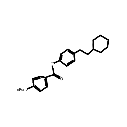 CCCCCc1ccc(C(=O)Oc2ccc(CCC3CC[CH]CC3)cc2)cc1